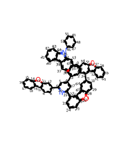 c1ccc(-c2cc(-c3ccc4c(c3)oc3ccccc34)nc(-c3cccc4oc5ccc(-c6cc(-c7ccc8c9ccccc9n(-c9ccccc9)c8c7)cc7oc8ccccc8c67)cc5c34)c2)cc1